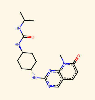 CC(C)NC(=O)N[C@H]1CC[C@H](Nc2ncc3ccc(=O)n(C)c3n2)CC1